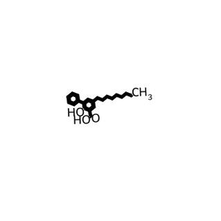 CCCCCCCCCc1cc(C(=O)O)c(O)c(-c2ccccc2)c1